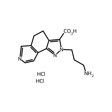 Cl.Cl.NCCCn1nc2c(c1C(=O)O)CCc1cnccc1-2